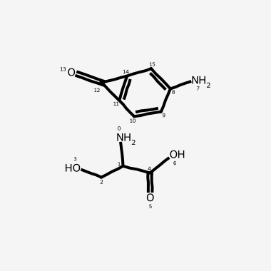 NC(CO)C(=O)O.Nc1ccc2c(=O)c2c1